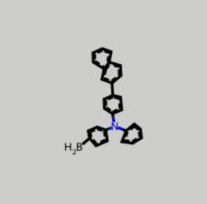 Bc1ccc(N(c2ccccc2)c2ccc(-c3ccc4ccccc4c3)cc2)cc1